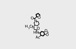 CC(=O)c1cc2c(cc1NC(=O)CN(C)C1CCCN(C(=O)c3ccco3)C1)OCO2